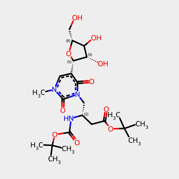 Cn1cc([C@@H]2O[C@H](CO)C(O)[C@@H]2O)c(=O)n(C[C@H](CC(=O)OC(C)(C)C)NC(=O)OC(C)(C)C)c1=O